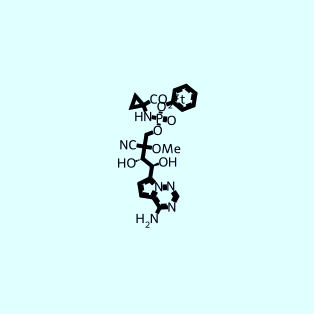 CCOC(=O)C1(NP(=O)(OCC(C#N)(OC)[C@@H](O)[C@@H](O)c2ccc3c(N)ncnn23)Oc2ccccc2)CC1